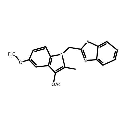 CC(=O)Oc1c(C)n(Cc2nc3ccccc3s2)c2ccc(OC(F)(F)F)cc12